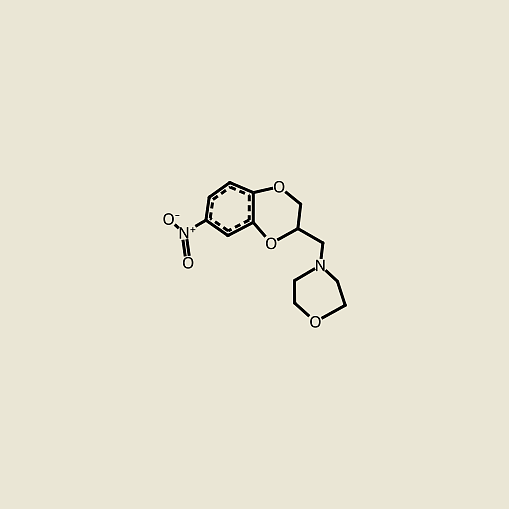 O=[N+]([O-])c1ccc2c(c1)OC(CN1CCOCC1)CO2